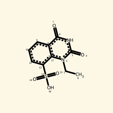 CCn1c(=O)[nH]c(=O)c2cccc(S(=O)(=O)O)c21